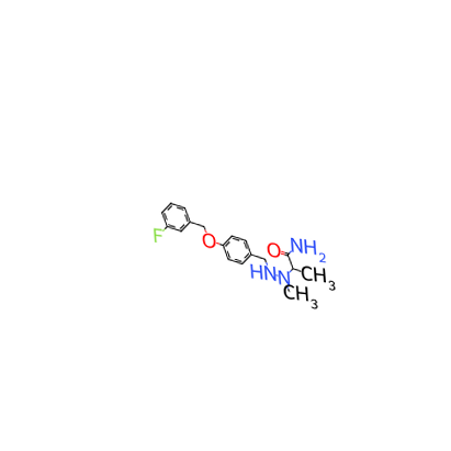 CC(C(N)=O)N(C)NCc1ccc(OCc2cccc(F)c2)cc1